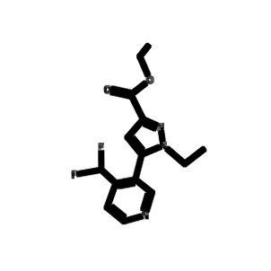 CCOC(=O)c1cc(-c2cnccc2C(F)F)n(CC)n1